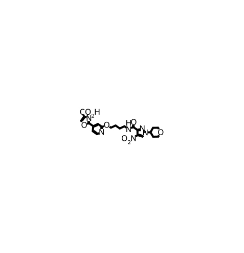 O=C(O)c1coc(-c2ccnc(OCCCCNC(=O)c3nn(C4CCOCC4)cc3[N+](=O)[O-])c2)n1